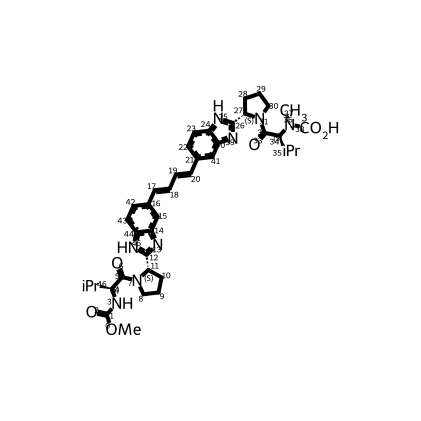 COC(=O)N[C@H](C(=O)N1CCC[C@H]1c1nc2cc(C=CC=Cc3ccc4[nH]c([C@@H]5CCCN5C(=O)[C@H](C(C)C)N(C)C(=O)O)nc4c3)ccc2[nH]1)C(C)C